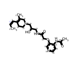 C/C=C\C1=C(C)CN(CC(O)CNC(=O)COc2cnccc2NC(C)=O)CC1